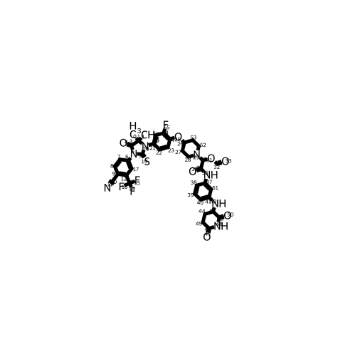 CC1(C)C(=O)N(c2ccc(C#N)c(C(F)(F)F)c2)C(=S)N1c1ccc(OC2CCN(C(OC=O)C(=O)Nc3cccc(NC4CCC(=O)NC4=O)c3)CC2)c(F)c1